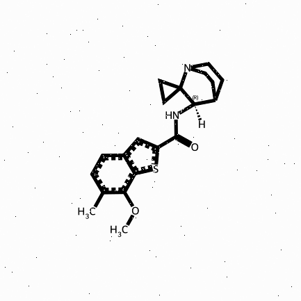 COc1c(C)ccc2cc(C(=O)N[C@@H]3C4CCN(CC4)C34CC4)sc12